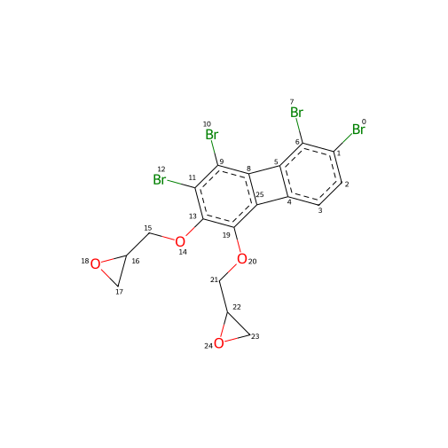 Brc1ccc2c(c1Br)-c1c(Br)c(Br)c(OCC3CO3)c(OCC3CO3)c1-2